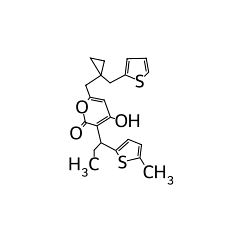 CCC(c1ccc(C)s1)c1c(O)cc(CC2(Cc3cccs3)CC2)oc1=O